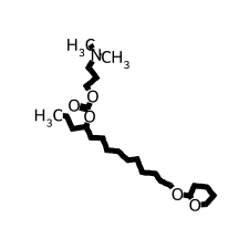 CCCC(CCCCCCCCCCOC1CCCCO1)OC(=O)OCCCN(C)C